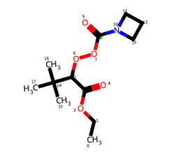 CCOC(=O)C(OOC(=O)N1CCC1)C(C)(C)C